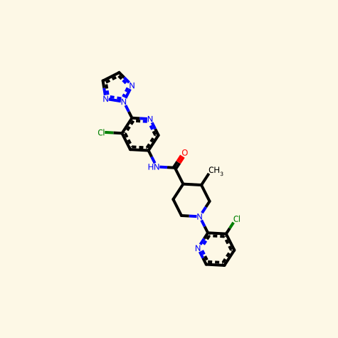 CC1CN(c2ncccc2Cl)CCC1C(=O)Nc1cnc(-n2nccn2)c(Cl)c1